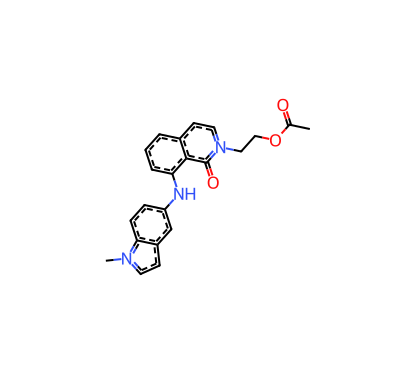 CC(=O)OCCn1ccc2cccc(Nc3ccc4c(ccn4C)c3)c2c1=O